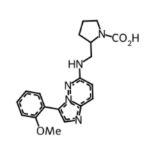 COc1ccccc1-c1cnc2ccc(NCC3CCCN3C(=O)O)nn12